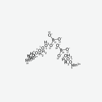 O.O.O.O.O.O.O.O.[Mn+2].[Mn+2].[Mn+2].[O-]B([O-])[O-].[O-]B([O-])[O-]